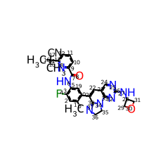 Cc1cc(F)c(NC(=O)c2cccc(C(C)(C)C#N)n2)cc1C1=Cc2cnc(NC3COC3)nc2N2CCN=C12